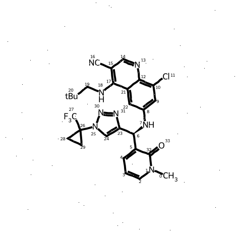 Cn1cccc([C@H](Nc2cc(Cl)c3ncc(C#N)c(NCC(C)(C)C)c3c2)c2cn(C3(C(F)(F)F)CC3)nn2)c1=O